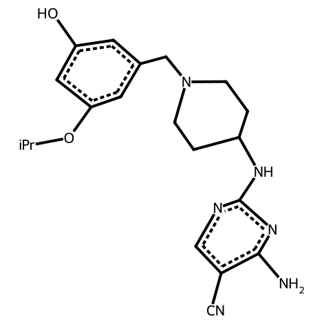 CC(C)Oc1cc(O)cc(CN2CCC(Nc3ncc(C#N)c(N)n3)CC2)c1